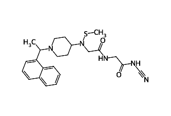 CSN(CC(=O)NCC(=O)NC#N)C1CCN(C(C)c2cccc3ccccc23)CC1